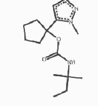 CCC(C)(C)NC(=O)OC1(c2ccnn2C)CCCC1